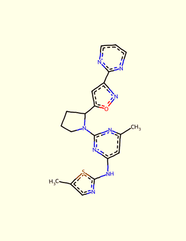 Cc1cc(Nc2ncc(C)s2)nc(N2CCCC2c2cc(-c3ncccn3)no2)n1